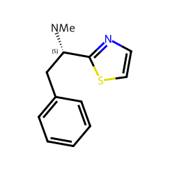 CN[C@@H](Cc1ccccc1)c1nccs1